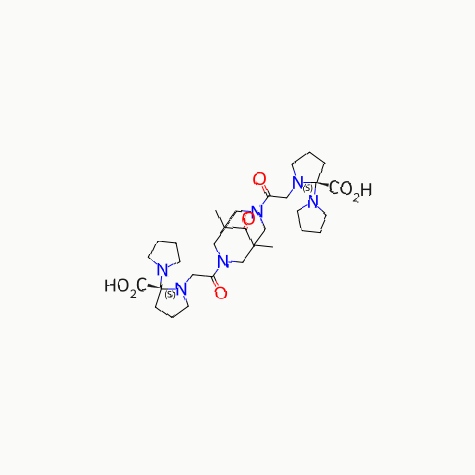 CC12CN(C(=O)CN3CCC[C@]3(C(=O)O)N3CCCC3)CC(C)(CN(C(=O)CN3CCC[C@]3(C(=O)O)N3CCCC3)C1)C2=O